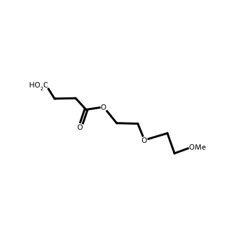 COCCOCCOC(=O)CCC(=O)O